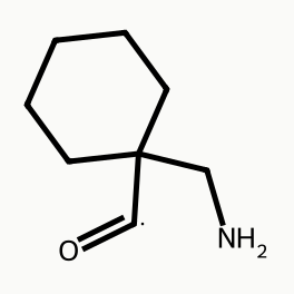 NCC1([C]=O)CCCCC1